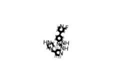 Fc1cc(-c2ccc3nc(Nc4cc(CN5CCNCC5)ccn4)[nH]c3c2)ccn1